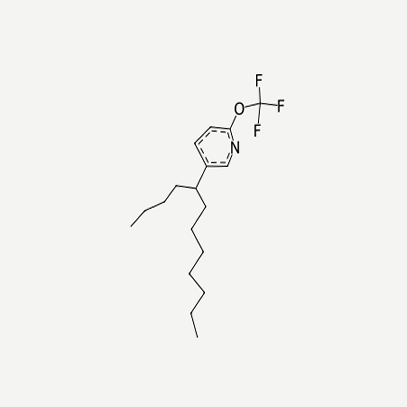 CCCCCCCC(CCCC)c1ccc(OC(F)(F)F)nc1